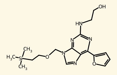 C[Si](C)(C)CCOCn1cnc2c(-c3ccco3)nc(NCCO)nc21